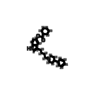 O=C(Oc1ccc2[nH]cc(CCCCN3CCC(c4ccccc4)CC3)c2c1)C1CCCCC1